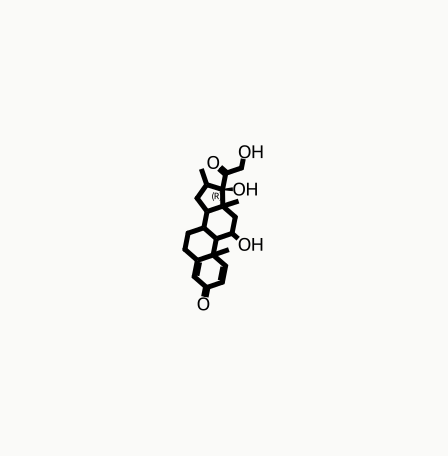 CC1CC2C3CCC4=CC(=O)C=CC4(C)C3C(O)CC2(C)[C@@]1(O)C(=O)CO